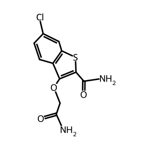 NC(=O)COc1c(C(N)=O)sc2cc(Cl)ccc12